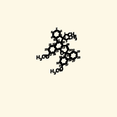 CCC1(CC)c2ccccc2-c2c1c1c(c3cc(OC)ccc23)OC(c2ccccc2)(c2ccc(OC)cc2)C=C1